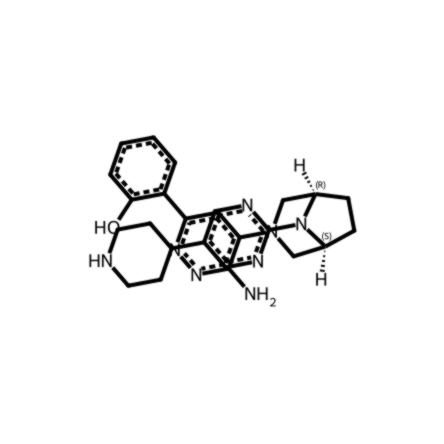 Nc1nnc(-c2ccccc2O)cc1N1C[C@H]2CC[C@@H](C1)N2c1ncc(C2CCNCC2)cn1